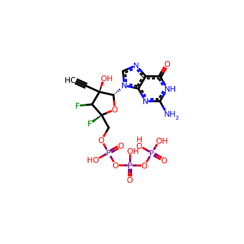 C#C[C@@]1(O)C(F)[C@@](F)(COP(=O)(O)OP(=O)(O)OP(=O)(O)O)O[C@H]1n1cnc2c(=O)[nH]c(N)nc21